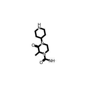 CC1C(=O)N(C2CCNCC2)CCN1C([NH])=O